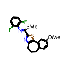 COc1ccc2c(c1)-c1sc(/C(=N/c3c(F)cccc3F)SC)nc1CCC2